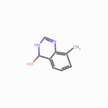 Cc1cccc2c1N=CNC2O